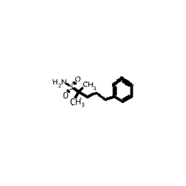 CC(C)(CCCc1cc[c]cc1)S(N)(=O)=O